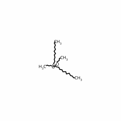 CCCCCCCCCCCC[Si](CCCCCCCCCCCC)(OCCCC)OCCCC